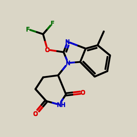 Cc1cccc2c1nc(OC(F)F)n2C1CCC(=O)NC1=O